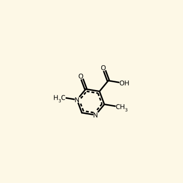 Cc1ncn(C)c(=O)c1C(=O)O